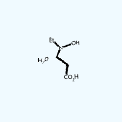 CCN(O)CCC(=O)O.O